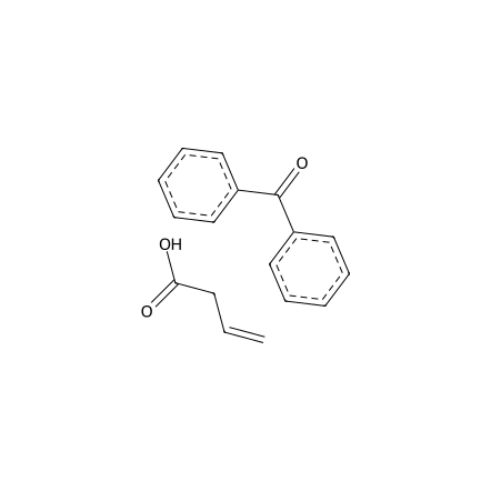 C=CCC(=O)O.O=C(c1ccccc1)c1ccccc1